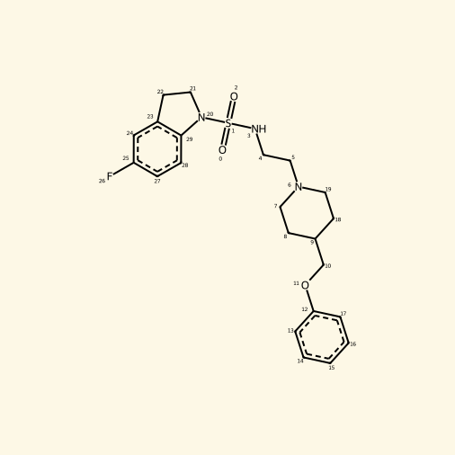 O=S(=O)(NCCN1CCC(COc2ccccc2)CC1)N1CCc2cc(F)ccc21